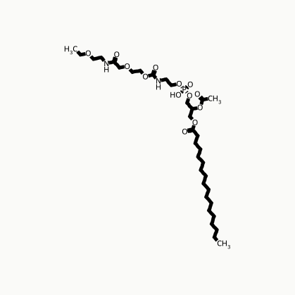 CCCCCCCCCCCCCCCCCC(=O)OCC(COP(=O)(O)OCCNC(=O)OCCOCC(=O)NCCOCC)OC(C)=O